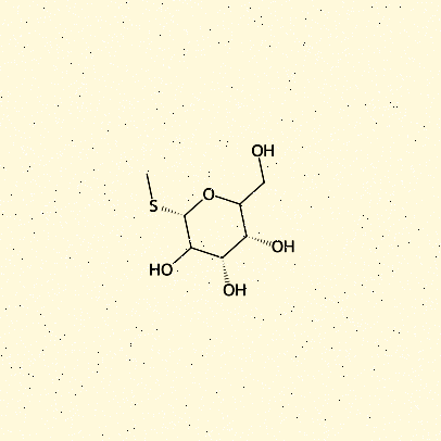 CS[C@@H]1OC(CO)[C@H](O)[C@H](O)C1O